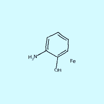 Nc1ccccc1O.[Fe]